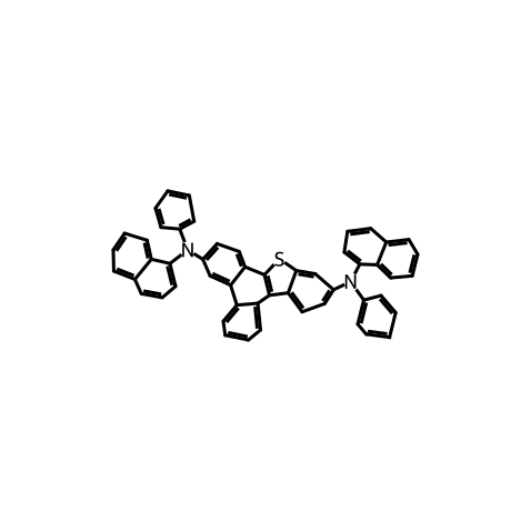 c1ccc(N(c2ccc3c(c2)sc2c4ccc(N(c5ccccc5)c5cccc6ccccc56)cc4c4ccccc4c32)c2cccc3ccccc23)cc1